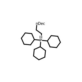 CCCCCCCCCCCC[PH](C1CCCCC1)(C1CCCCC1)C1CCCCC1